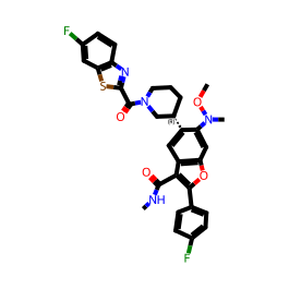 CNC(=O)c1c(-c2ccc(F)cc2)oc2cc(N(C)OC)c([C@H]3CCCN(C(=O)c4nc5ccc(F)cc5s4)C3)cc12